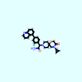 NC(=O)C(c1ccc(-c2cccc3ncccc23)cc1F)N1CCC2(CC1)CN(C1CC1)C(=O)CO2